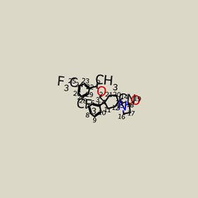 C[C@@H](OC[C@]1(c2ccccc2)CC[C@@](C#N)(N2CCC2=O)CC1)c1cc(C(F)(F)F)cc(C(F)(F)F)c1